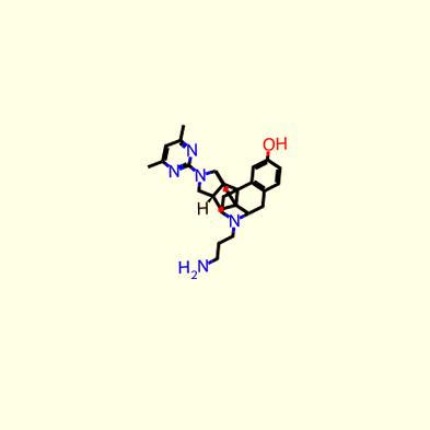 Cc1cc(C)nc(N2C[C@H]3CC45CCC2C3C42CCN(CCCN)C5Cc3ccc(O)cc32)n1